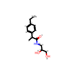 CC(C)Cc1ccc(C(C)C(=O)NCC(O)CO)cc1